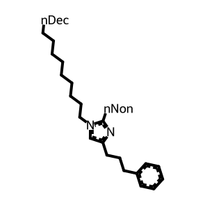 CCCCCCCCCCCCCCCCCCCn1cc(CCCc2ccccc2)nc1CCCCCCCCC